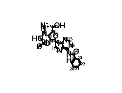 [N-]=[N+]=N[C@H]1[C@@H](O[PH](=O)O)[C@H](n2cnc3c(NC(=O)c4ccccc4)ncnc32)O[C@@H]1CO